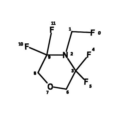 FCN1C(F)(F)COCC1(F)F